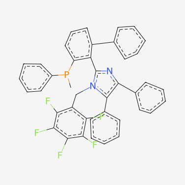 CP(c1ccccc1)c1cccc(-c2ccccc2)c1-c1nc(-c2ccccc2)c(-c2ccccc2)n1Cc1c(F)c(F)c(F)c(F)c1F